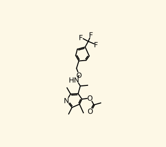 CC(=O)Oc1c(C)c(C)nc(C)c1C(C)NOCc1ccc(C(F)(F)F)cc1